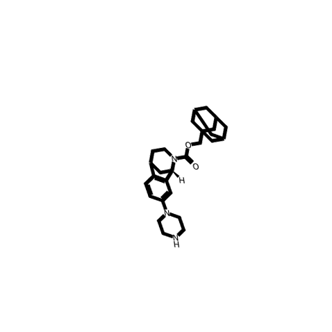 O=C(OCC12CC3CC(CC(C3)C1)C2)N1CCC2C[C@H]1c1cc(N3CCNCC3)ccc12